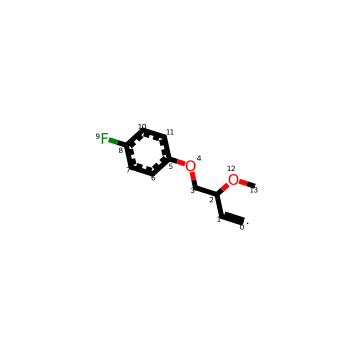 [CH]=CC(COc1ccc(F)cc1)OC